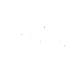 CCCCCNC(=O)C(Cc1cccc(N2CC(=O)NS2(=O)=O)c1)NC(=O)C(Cc1ccccc1)NC(C)=O